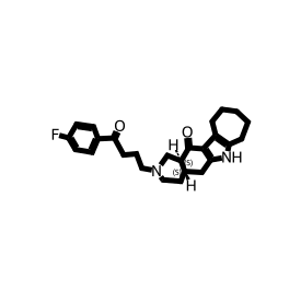 O=C(CCCN1CC[C@H]2Cc3[nH]c4c(c3C(=O)[C@@H]2C1)CCCCC4)c1ccc(F)cc1